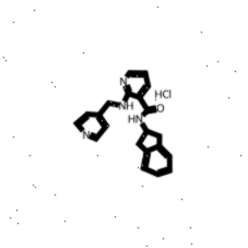 Cl.O=C(NC1Cc2ccccc2C1)c1cccnc1NCc1ccncc1